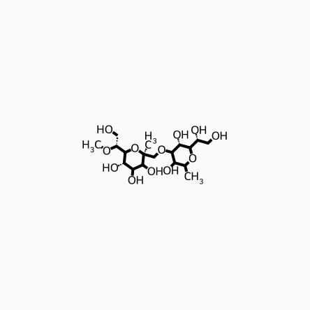 CO[C@H](CO)C1O[C@@](C)(COC2C(O)C(C)OC([C@H](O)CO)[C@H]2O)C(O)C(O)[C@@H]1O